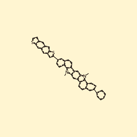 Cn1c2cc3c4ccc5cc(-c6cc7cc8cc9sccc9cc8cc7s6)ccc5c4n(C)c3cc2c2ccc3cc(-c4ccccc4)ccc3c21